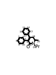 CC(C)N1C(=O)C(c2ccccc2)=C(c2ccccc2)CC1C